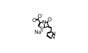 O=C([O-])C1=CSC2C(=Cc3cccnn3)C(=O)N12.[Na+]